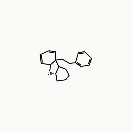 OC1C=CC=CC1(CCc1ccccc1)C1CCCCC1